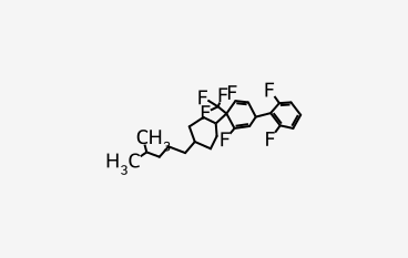 CC(C)CCCC1CCC(C2(C(F)(F)F)C(F)=CC(c3c(F)cccc3F)C=C2F)CC1